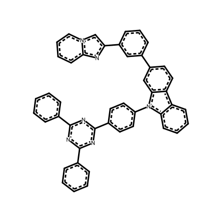 c1ccc(-c2nc(-c3ccccc3)nc(-c3ccc(-n4c5ccccc5c5ccc(-c6cccc(-c7cn8ccccc8n7)c6)cc54)cc3)n2)cc1